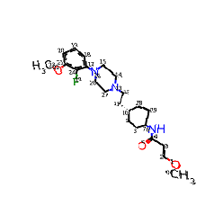 COCCC(=O)N[C@H]1CC[C@H](CCN2CCN(c3cccc(OC)c3F)CC2)CC1